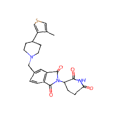 Cc1cscc1C1CCN(Cc2ccc3c(c2)C(=O)N(C2CCC(=O)NC2=O)C3=O)CC1